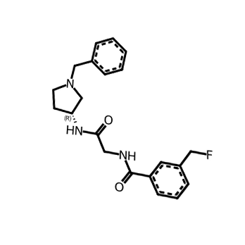 O=C(CNC(=O)c1cccc(CF)c1)N[C@@H]1CCN(Cc2ccccc2)C1